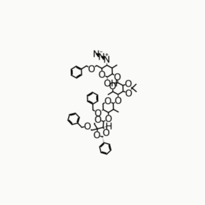 CC1C(O[C@@H]2OCC3(COCc4ccccc4)O[C@@H](c4ccccc4)O[C@H]23)[C@H](OCc2ccccc2)CO[C@H]1O[C@H]1C(C)O[C@@H](OC2C(C)[C@@H](N=[N+]=[N-])C(COCc3ccccc3)O[C@H]2O)C2OC(C)(C)OC21